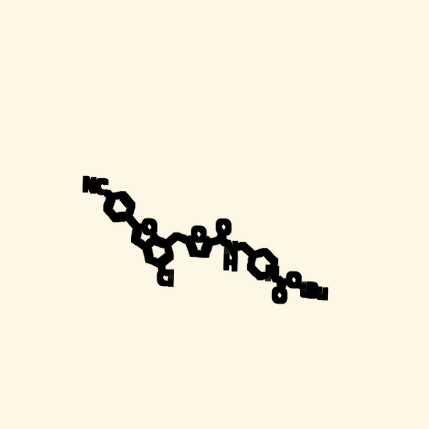 CC(C)(C)OC(=O)N1CCC(CNC(=O)c2ccc(Cc3cc(Cl)cc4cc(-c5ccc(C#N)cc5)oc34)o2)CC1